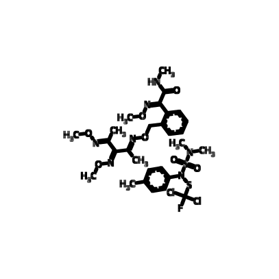 CNC(=O)/C(=N/OC)c1ccccc1CO/N=C(C)/C(=N/OC)C(/C)=N/OC.Cc1ccc(N(SC(F)(Cl)Cl)S(=O)(=O)N(C)C)cc1